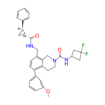 COc1cccc(-c2ccc(CNC(=O)[C@@H]3C[C@H]3c3ccccc3)c3c2CCN(C(=O)NC2CC(F)(F)C2)C3)c1